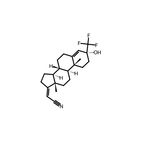 C[C@]12CC[C@](O)(C(F)(F)F)C=C1CC[C@@H]1[C@@H]2CC[C@]2(C)/C(=C\C#N)CC[C@@H]12